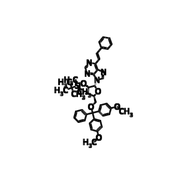 COc1ccc(C(OC[C@H]2[CH][C@@H](O[Si](C)(C)C(C)(C)C)[C@H](n3cnc4c(/C=C/c5ccccc5)ncnc43)O2)(c2ccccc2)c2ccc(OC)cc2)cc1